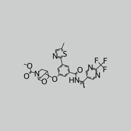 COC(=O)N1CC2COC1=CC2Oc1cc(C(=O)N[C@H](C)c2cnc(C(F)(F)F)nc2)cc(-c2ncc(C)s2)c1